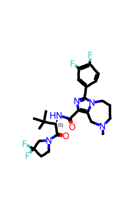 CN1CCCn2c(-c3ccc(F)c(F)c3)nc(C(=O)N[C@H](C(=O)N3CCC(F)(F)C3)C(C)(C)C)c2C1